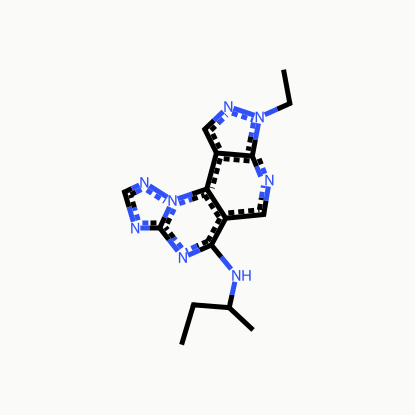 CCC(C)Nc1nc2ncnn2c2c1cnc1c2cnn1CC